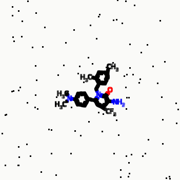 Cc1ccc(Cn2c(-c3ccc(N(C)C)cc3)cc(C(F)(F)F)c(N)c2=O)c(C)c1